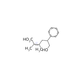 C/C(CC(CO)c1ccccc1)=C(\C)C(=O)O